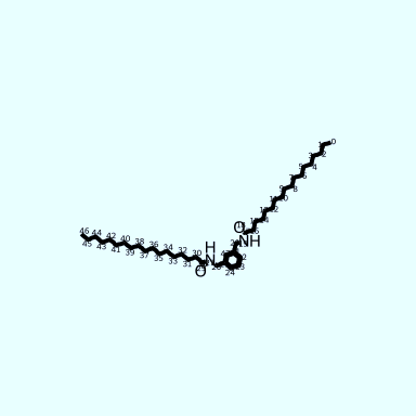 CCCCCCCCCCCCCCCCCC(=O)NCc1cccc(CNC(=O)CCCCCCCCCCCCCCCCC)c1